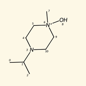 CC(C)N1CC[N+](C)(O)CC1